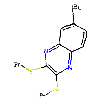 CC(C)Sc1nc2ccc(C(C)(C)C)cc2nc1SC(C)C